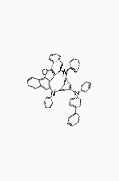 c1ccc(-c2ccc(N(c3ccccc3)c3cc4cc(c3)N(c3ccccc3)c3cc5ccccc5c5oc6c7ccccc7cc(c6c35)N4c3ccccc3)cc2)cc1